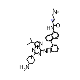 CC(C)c1cnn2c(NCc3ccccc3-c3cccc4c(NC(=O)/C=C/CN(C)C)cccc34)nc(N3CCC(N)CC3)nc12